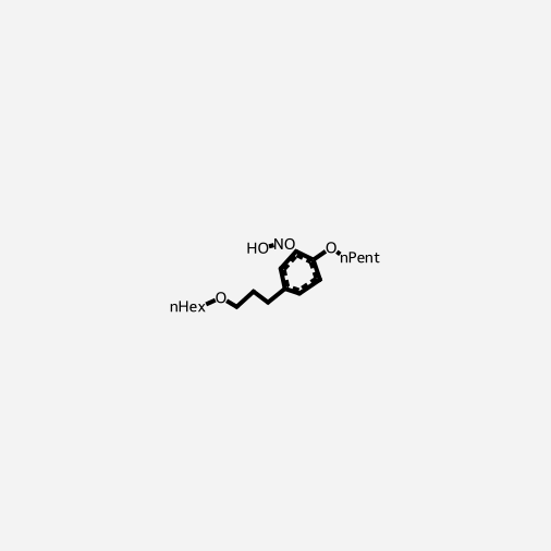 CCCCCCOCCCc1ccc(OCCCCC)cc1.O=NO